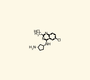 Cc1nc(N[C@H]2CC[C@H](N)C2)c2cc(Cl)ccc2n1.Cl